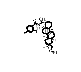 CCOC[C@@]1(O)CC[C@@H]2C3CC[C@]4(C)[C@@H](C(C)NC(=O)c5ccc(F)cc5F)CCC[C@H]4[C@@H]3CC[C@@H]2C1